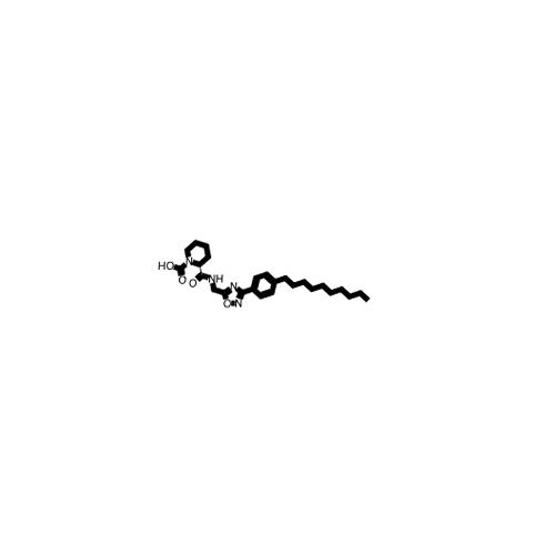 CCCCCCCCCCc1ccc(-c2noc(CNC(=O)[C@H]3CCCCN3C(=O)O)n2)cc1